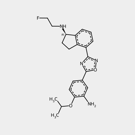 CC(C)Oc1ccc(-c2nc(-c3cccc4c3CC[C@H]4NCCF)no2)cc1N